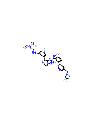 CN(C)CCNc1cc(F)cc(-c2nccc3[nH]c(-c4n[nH]c5ccc(-c6cncc(CN7CCC(F)(F)C7)c6)c(F)c45)nc23)c1